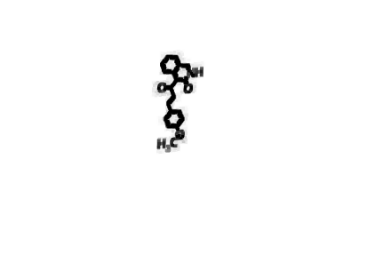 COc1ccc(C=CC(=O)c2c(=O)[nH]cc3ccccc23)cc1